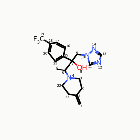 C=C1CCN(C(C)C(O)(Cn2cncn2)c2ccc(C(F)(F)F)cc2)CC1